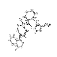 Cc1ccc(-c2ccc(C(=O)N3Cc4ccc(C(=O)O)n4Cc4ccccc43)cc2)c2ccccc12